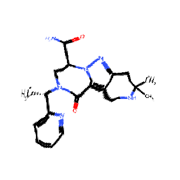 C[C@@H](c1ccccn1)N1CC(C(N)=O)n2nc3c(c2C1=O)CNC(C)(C)C3